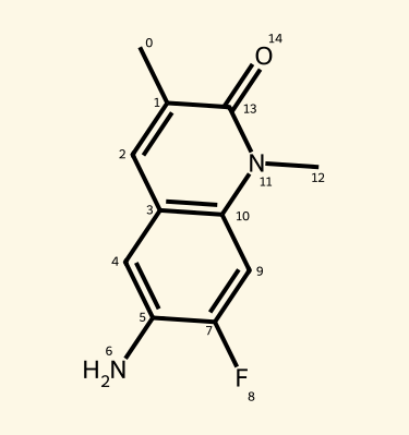 Cc1cc2cc(N)c(F)cc2n(C)c1=O